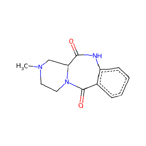 CN1CCN2C(=O)c3ccccc3NC(=O)C2C1